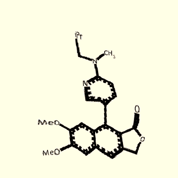 COc1cc2cc3c(c(-c4ccc(N(C)CC(C)C)nc4)c2cc1OC)C(=O)OC3